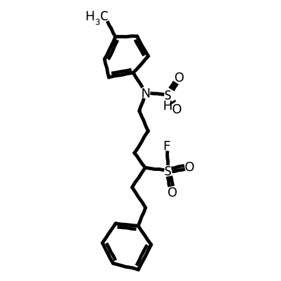 Cc1ccc(N(CCCC(CCc2ccccc2)S(=O)(=O)F)[SH](=O)=O)cc1